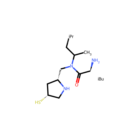 CC[C@H](C)[C@H](N)C(=O)N(C[C@H]1C[C@@H](S)CN1)C(C)CC(C)C